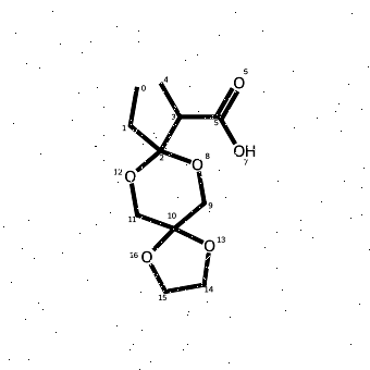 CCC1(C(C)C(=O)O)OCC2(CO1)OCCO2